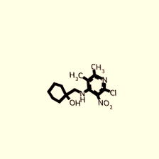 Cc1nc(Cl)c([N+](=O)[O-])c(NCC2(O)CCCCC2)c1C